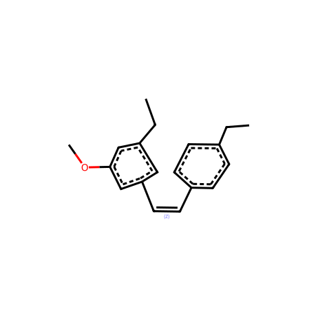 CCc1ccc(/C=C\c2cc(CC)cc(OC)c2)cc1